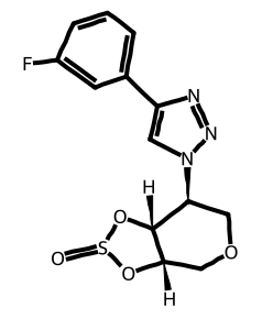 O=S1O[C@H]2[C@H](COC[C@@H]2n2cc(-c3cccc(F)c3)nn2)O1